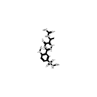 CCCNS(=O)(=O)c1ccc(OCC)c(-c2nnc(C(C)NC(=O)CCC)c(=O)[nH]2)c1